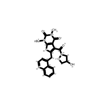 CCCCn1c(=O)n(C)c(=O)c2c(C(=O)N3CC(O)CO3)c(Cc3ccnc4ccccc34)sc21